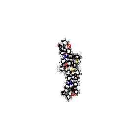 c1ccc2c(c1)Oc1ccccc1C21c2ccccc2-c2ccc(N(c3ccc4c(c3)oc3c(-c5ccc6c(c5)Sc5ccccc5C65c6ccccc6-c6c(N(c7ccc8c(c7)C7(c9ccccc9Oc9ccccc97)c7ccccc7-8)c7cccc8c7sc7ccccc78)cccc65)cccc34)c3cccc4c3-c3ccccc3C43c4ccccc4Sc4ccccc43)cc21